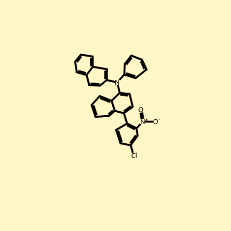 O=[N+]([O-])c1cc(Cl)ccc1-c1ccc(N(c2ccccc2)c2ccc3ccccc3c2)c2ccccc12